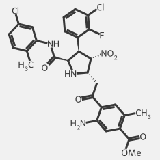 COC(=O)c1cc(N)c(C(=O)C[C@@H]2N[C@@H](C(=O)Nc3cc(Cl)ccc3C)[C@@H](c3cccc(Cl)c3F)[C@@H]2[N+](=O)[O-])cc1C